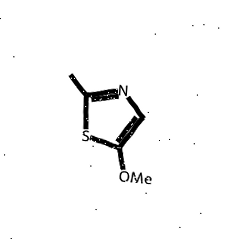 COc1cnc(C)s1